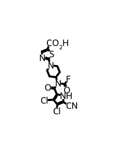 N#Cc1[nH]c(C(=O)N(C(=O)F)C2CCN(c3ncc(C(=O)O)s3)CC2)c(Cl)c1Cl